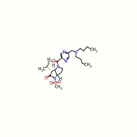 CCCCN(CCCC)Cc1cnc(C(=O)N2CC[C@H]3[C@H]2[C@@H](C(C)C)C(=O)N3S(C)(=O)=O)cn1